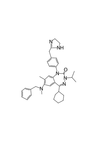 Cc1cc2c(cc1N(C)Cc1ccccc1)C(C1CCCCC1)=NN(C(C)C)C(=O)N2c1ccc(CC2=NCCN2)cc1